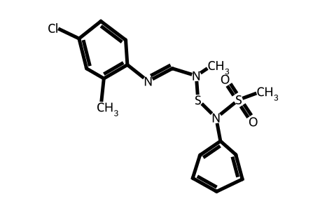 Cc1cc(Cl)ccc1N=CN(C)SN(c1ccccc1)S(C)(=O)=O